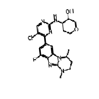 C[C@H]1CCN(C)c2nc3c(F)cc(-c4nc(N[C@@H]5CCOC[C@H]5O)ncc4Cl)cc3n21